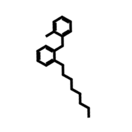 CCCCCCCCc1ccccc1Cc1ccccc1C